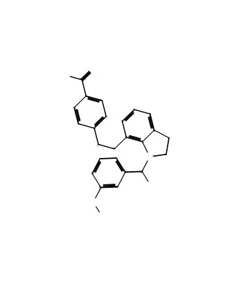 COc1cccc(C(C)N2CCc3cccc(CCc4ccc(C(=O)O)cc4)c32)c1